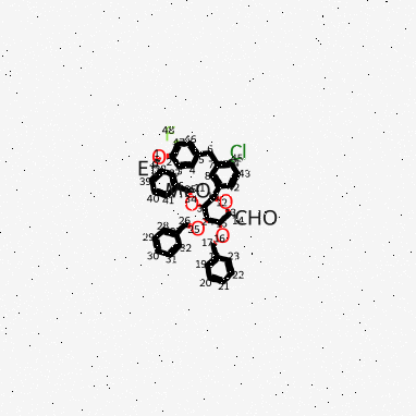 CCOc1ccc(Cc2cc([C@]3(OC)O[C@H](C=O)[C@@H](OCc4ccccc4)C(OCc4ccccc4)[C@H]3OCc3ccccc3)ccc2Cl)cc1F